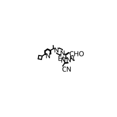 CCC1CN(C(C)c2ccc(C3CCC3)nc2)CCN1/C(=C/C=O)c1nc(CC#N)cn1N(C)C